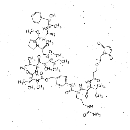 CC[C@H](C)[C@@H]([C@@H](CC(=O)N1CCC[C@H]1[C@H](OC)[C@@H](C)C(=O)N[C@H](C)[C@@H](O)c1ccccc1)OC)N(C)C(=O)[C@@H](NC(=O)[C@H](C(C)C)N(C)C(=O)OCc1ccc(NC(=O)[C@H](CCCNC(N)=O)NC(=O)[C@@H](NC(=O)CCOCCN2C(=O)C=CC2=O)C(C)C)cc1)C(C)C